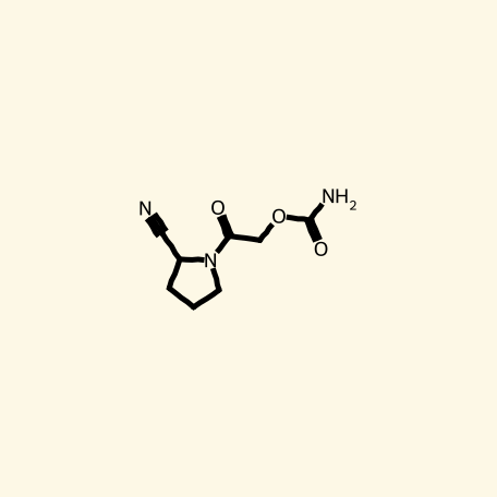 N#CC1CCCN1C(=O)COC(N)=O